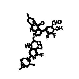 CC1Cc2nc3c(c(-c4cc(C=O)c(O)c(F)c4F)cn3CC(=O)Nc3cc(N4CCN(C)CC4C)nc(F)c3Cl)c(=O)n2C1